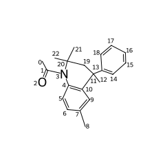 CC(=O)N1c2ccc(C)cc2C(C)(c2ccccc2)CC1(C)C